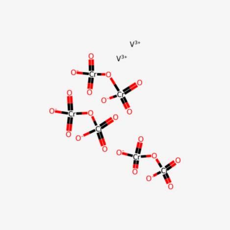 [O]=[Cr](=[O])([O-])[O][Cr](=[O])(=[O])[O-].[O]=[Cr](=[O])([O-])[O][Cr](=[O])(=[O])[O-].[O]=[Cr](=[O])([O-])[O][Cr](=[O])(=[O])[O-].[V+3].[V+3]